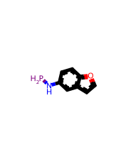 PNc1ccc2occc2c1